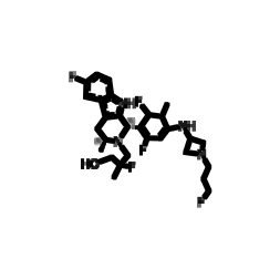 CC1C(NC2CN(CCCF)C2)=CC(F)=C([C@H]2c3[nH]c4ccc(F)cc4c3C[C@H](C)N2CC(C)(F)CO)C1F